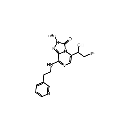 CCCCn1nc2c(NCCc3cccnc3)ncc(C(O)CC(C)C)n2c1=O